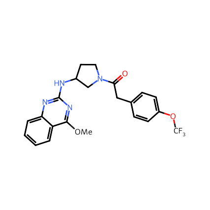 COc1nc(NC2CCN(C(=O)Cc3ccc(OC(F)(F)F)cc3)C2)nc2ccccc12